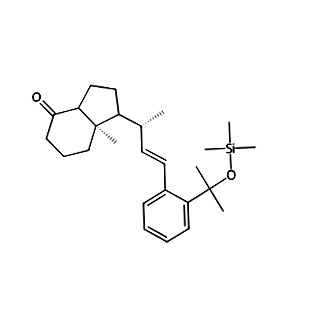 C[C@H](C=Cc1ccccc1C(C)(C)O[Si](C)(C)C)C1CCC2C(=O)CCC[C@@]21C